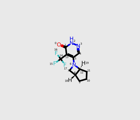 O=c1[nH]ncc(N2C[C@H]3CCC[C@@H]32)c1C(F)(F)F